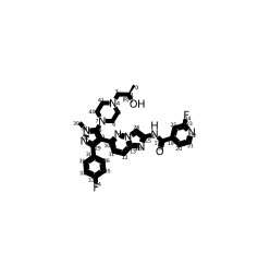 C[C@@H](O)CN1CCN(c2c(-c3ccc4nc(NC(=O)c5ccnc(F)c5)cn4n3)c(-c3ccc(F)cc3)nn2C)CC1